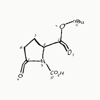 CCCCOC(=O)C1CCC(=O)N1C(=O)O